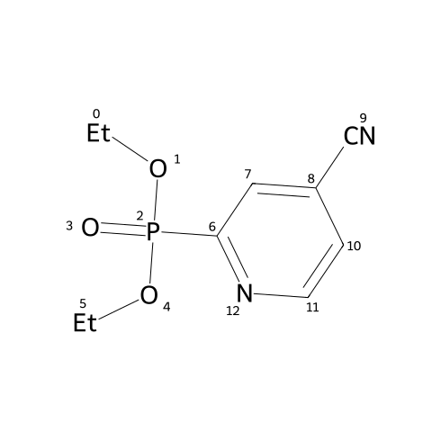 CCOP(=O)(OCC)c1cc(C#N)ccn1